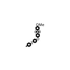 COc1ccc(S(=O)(=O)c2ccc(Oc3ccc(S(C)(C)c4ccc(C)cc4)cc3)cc2)cc1